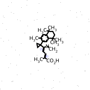 C=N/C(=C\C=C(/C)C(=O)O)C1(c2cc3c(cc2C)C(C)(C)CCC3(C)C)CC1